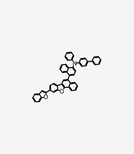 c1ccc(-c2ccc(N(c3ccccc3)c3ccc(-c4cc5c6ccc(-c7cc8ccccc8o7)cc6oc5c5ccccc45)c4ccccc34)cc2)cc1